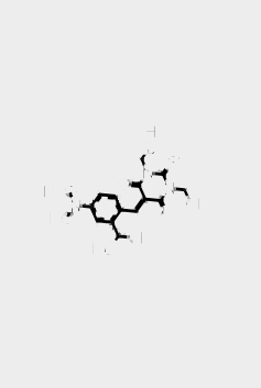 CCN1C(=O)C(=Cc2ccc(N(C)C)cc2C(C)C)C(=O)N(CC)C1=S